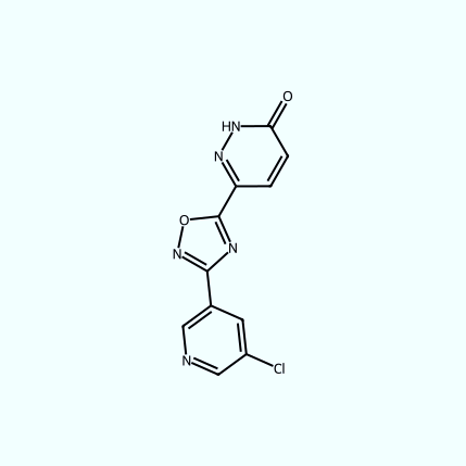 O=c1ccc(-c2nc(-c3cncc(Cl)c3)no2)n[nH]1